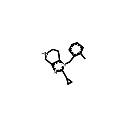 Cc1ccccc1Cn1c(C2CC2)nc2c1CCNC2